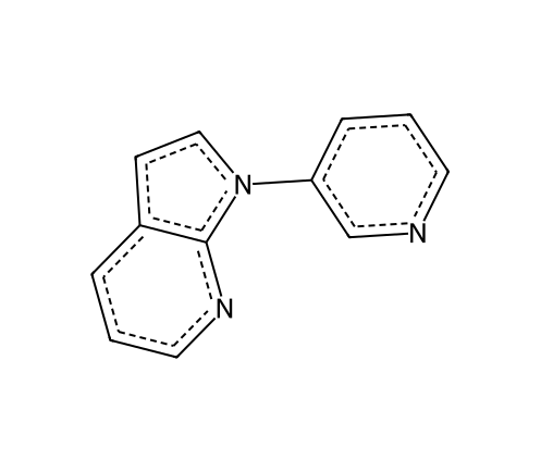 c1cncc(-n2ccc3cccnc32)c1